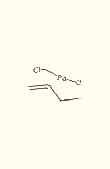 C=CCC.[Cl][Pd][Cl]